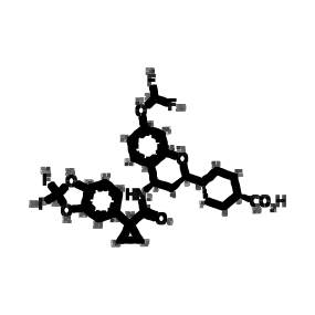 O=C(N[C@@H]1C[C@H]([C@H]2CC[C@H](C(=O)O)CC2)Oc2cc(OC(F)F)ccc21)C1(c2ccc3c(c2)OC(F)(F)O3)CC1